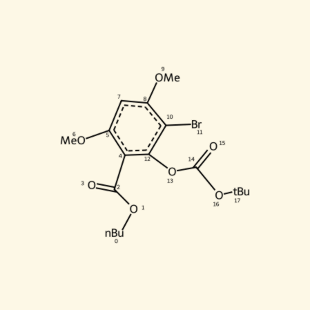 CCCCOC(=O)c1c(OC)cc(OC)c(Br)c1OC(=O)OC(C)(C)C